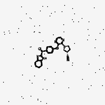 N#C[C@H]1CCN(c2nccnc2Oc2ccc(C(=O)c3nc4ccccc4[nH]3)cc2)C1